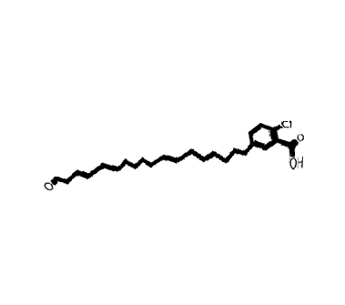 O=CCCCCCCCCCCCCCCCCCc1ccc(Cl)c(C(=O)O)c1